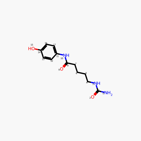 NC(=O)NCCCCC(=O)Nc1ccc(O)cc1